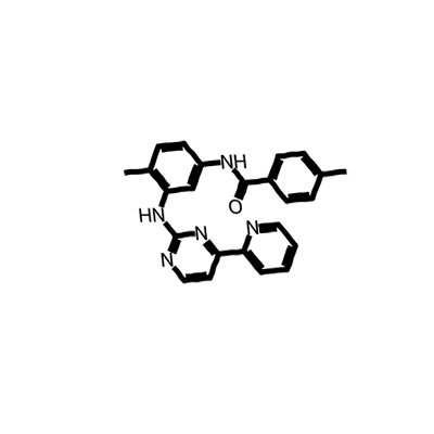 Cc1ccc(C(=O)Nc2ccc(C)c(Nc3nccc(-c4ccccn4)n3)c2)cc1